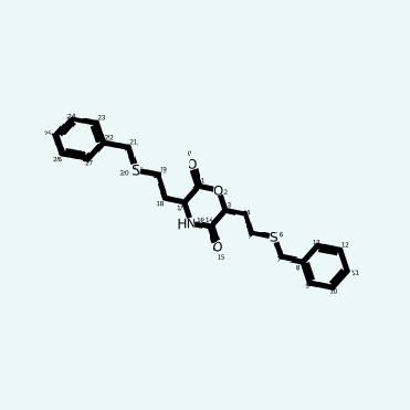 O=C1OC(CCSCc2ccccc2)C(=O)NC1CCSCc1ccccc1